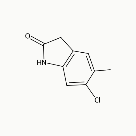 Cc1cc2c(cc1Cl)NC(=O)C2